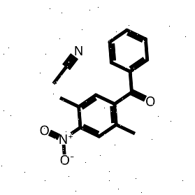 CC#N.Cc1cc([N+](=O)[O-])c(C)cc1C(=O)c1ccccc1